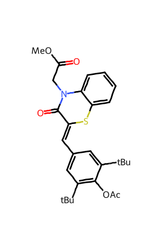 COC(=O)CN1C(=O)C(=Cc2cc(C(C)(C)C)c(OC(C)=O)c(C(C)(C)C)c2)Sc2ccccc21